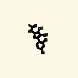 CC(=O)Nc1oc(-c2ccc(Cl)cc2Cl)c(O)c1O